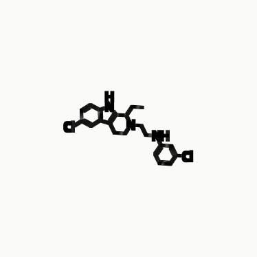 CCC1c2[nH]c3ccc(Cl)cc3c2CCN1CCNc1cccc(Cl)c1